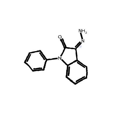 N/N=C1\C(=O)N(c2ccccc2)c2ccccc21